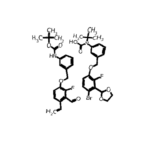 C=Cc1ccc(OCc2cccc(NC(=O)OC(C)(C)C)c2)c(F)c1C=O.CC(C)(C)N(C(=O)O)c1cccc(COc2ccc(Br)c(C3OCCO3)c2F)c1